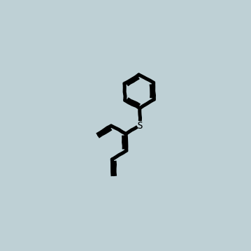 C=C/C=C(\C=C)Sc1ccccc1